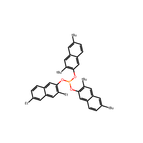 CCc1ccc2cc(OP(Oc3cc4ccc(C(C)(C)C)cc4cc3C(C)(C)C)Oc3cc4ccc(C(C)(C)C)cc4cc3C(C)(C)C)c(CC)cc2c1